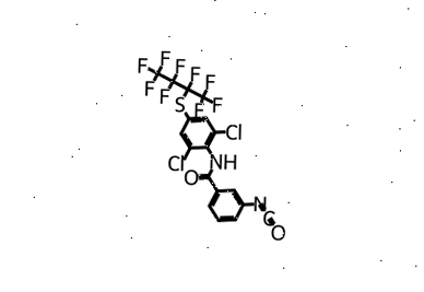 O=C=Nc1cccc(C(=O)Nc2c(Cl)cc(SC(F)(C(F)(F)F)C(F)(F)C(F)(F)F)cc2Cl)c1